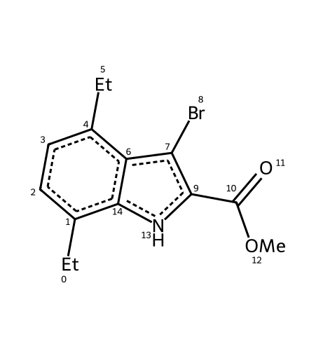 CCc1ccc(CC)c2c(Br)c(C(=O)OC)[nH]c12